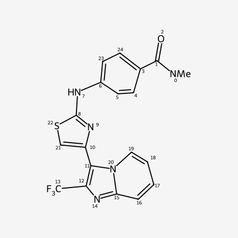 CNC(=O)c1ccc(Nc2nc(-c3c(C(F)(F)F)nc4ccccn34)cs2)cc1